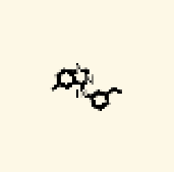 CCc1cccc(Nc2ncnc3ccc(C)cc23)c1